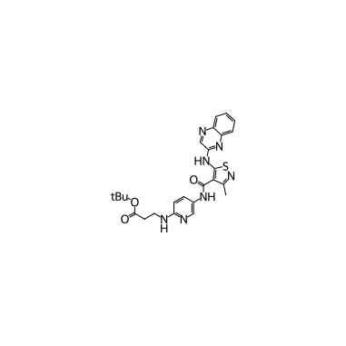 Cc1nsc(Nc2cnc3ccccc3n2)c1C(=O)Nc1ccc(NCCC(=O)OC(C)(C)C)nc1